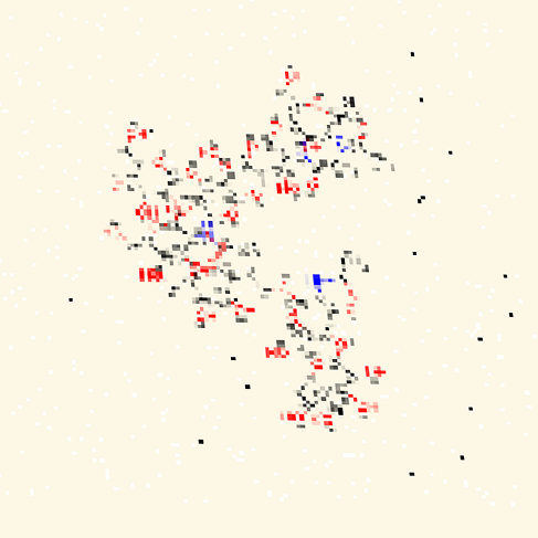 CC(=O)NC1C(O)[C@H](O[C@@H]2OC3CC(O)(O)[C@@H]3[C@H](O)C2O)[C@H](CO)O[C@H]1OCCC1[C@@H](OCC2O[C@@H](O[C@@H]3C(CO)O[C@@H](O[C@@H]4C(CO)O[C@@H](C)C(NC(C)=O)[C@H]4O)C(NC(C)=O)[C@H]3O)C(O)[C@@H](O[C@H]3OC(CO)[C@@H](O)C(O)C3O[C@@H]3OC(CO)[C@@H](O)[C@H](O)C3NC(C)=O)[C@@H]2O)OC(CO)[C@@H](O)[C@@H]1O